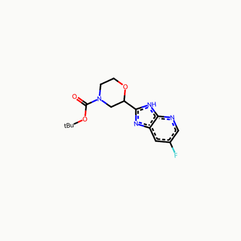 CC(C)(C)OC(=O)N1CCOC(c2nc3cc(F)cnc3[nH]2)C1